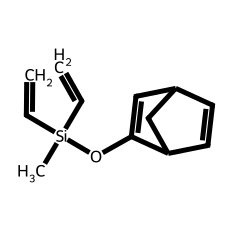 C=C[Si](C)(C=C)OC1=CC2C=CC1C2